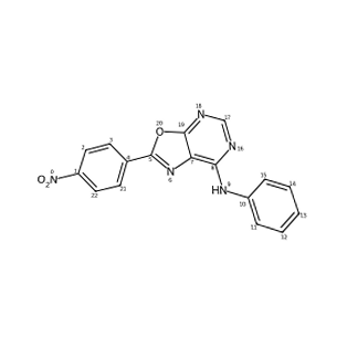 O=[N+]([O-])c1ccc(-c2nc3c(Nc4ccccc4)ncnc3o2)cc1